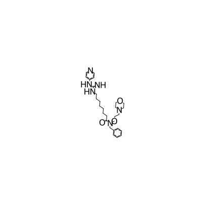 N=C(NCCCCCCCC(=O)N(Cc1ccccc1)OCCN1CCOCC1)Nc1ccncc1